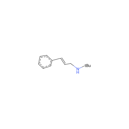 CC(C)(C)NCC=Cc1ccccc1